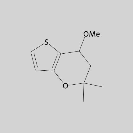 COC1CC(C)(C)Oc2ccsc21